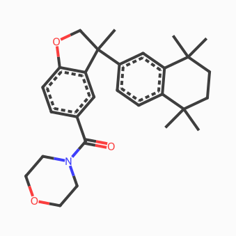 CC1(C)CCC(C)(C)c2cc(C3(C)COc4ccc(C(=O)N5CCOCC5)cc43)ccc21